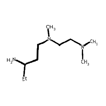 CCC(N)CCN(C)CCN(C)C